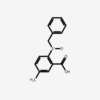 Cc1ccc([S+]([O-])Cc2ccccc2)c(C(=O)O)c1